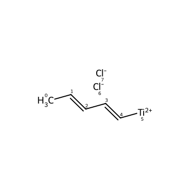 C/C=C/C=[CH]/[Ti+2].[Cl-].[Cl-]